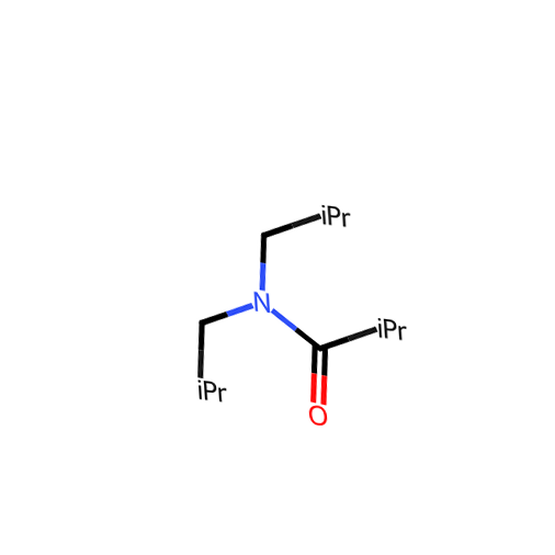 CC(C)CN(CC(C)C)C(=O)C(C)C